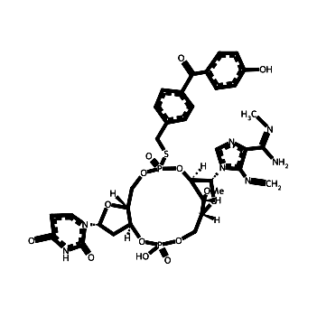 C=Nc1c(/C(N)=N\C)ncn1[C@@H]1O[C@@H]2COP(=O)(O)O[C@H]3C[C@H](n4ccc(=O)[nH]c4=O)O[C@@H]3COP(=O)(SCc3ccc(C(=O)c4ccc(O)cc4)cc3)O[C@@H]1[C@@H]2OC